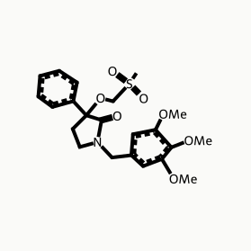 COc1cc(CN2CCC(OCS(C)(=O)=O)(c3ccccc3)C2=O)cc(OC)c1OC